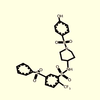 O=S(=O)(NC1CCN(S(=O)(=O)c2ccc(O)cc2)CC1)c1cc(S(=O)(=O)c2ccccc2)ccc1C(F)(F)F